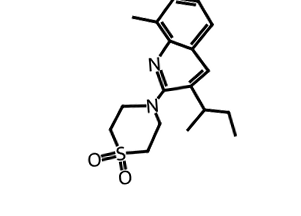 CCC(C)c1cc2cccc(C)c2nc1N1CCS(=O)(=O)CC1